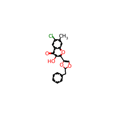 Cc1cc2oc(C3=COC(Cc4ccccc4)O3)c(O)c(=O)c2cc1Cl